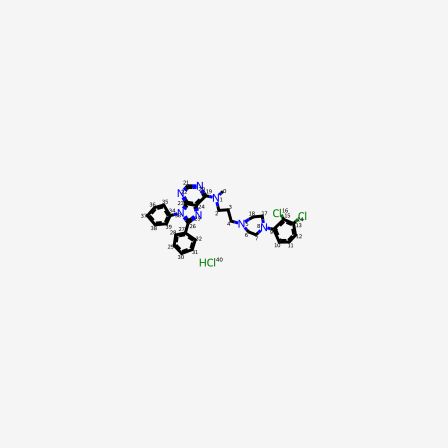 CN(CCCN1CCN(c2cccc(Cl)c2Cl)CC1)c1ncnc2c1nc(-c1ccccc1)n2-c1ccccc1.Cl